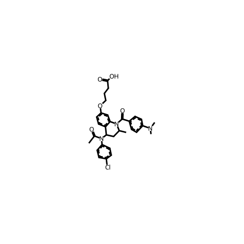 CC(=O)N(c1ccc(Cl)cc1)C1CC(C)N(C(=O)c2ccc(N(C)C)cc2)c2cc(OCCCC(=O)O)ccc21